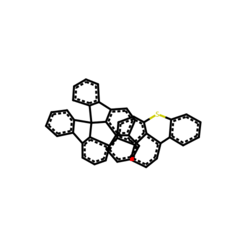 c1ccc2c(c1)Sc1ccc(-c3cccc4c3C3(c5ccccc5-4)c4ccccc4-c4ccc5ccccc5c43)c3cccc-2c13